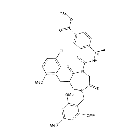 COc1cc(OC)c(CN2CC(Cc3cc(Cl)ccc3OC)C(=O)N(C(=O)N[C@H](C)c3ccc(C(=O)OC(C)(C)C)cc3)CC2=S)c(OC)c1